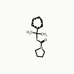 CC(C)(SC(=O)N1CCCC1)c1ccccc1